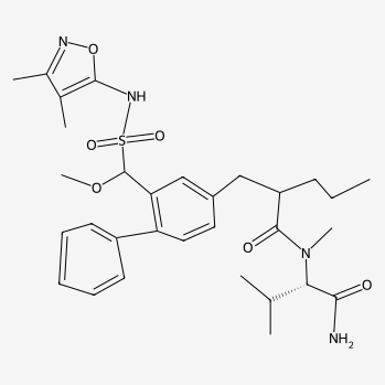 CCCC(Cc1ccc(-c2ccccc2)c(C(OC)S(=O)(=O)Nc2onc(C)c2C)c1)C(=O)N(C)[C@H](C(N)=O)C(C)C